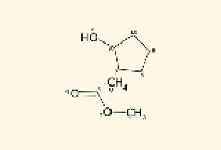 C.COC=O.OC1CCCC1